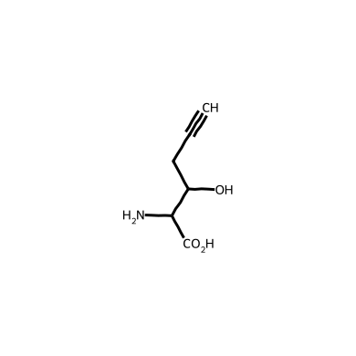 C#CCC(O)C(N)C(=O)O